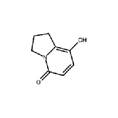 O=c1ccc(O)c2n1CCC2